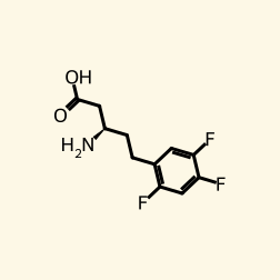 N[C@H](CCc1cc(F)c(F)cc1F)CC(=O)O